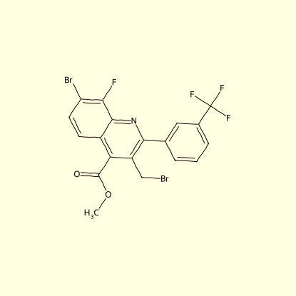 COC(=O)c1c(CBr)c(-c2cccc(C(F)(F)F)c2)nc2c(F)c(Br)ccc12